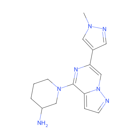 Cn1cc(-c2cn3nccc3c(N3CCCC(N)C3)n2)cn1